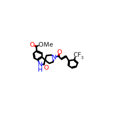 COC(=O)c1ccc2c(c1)C1(CCN(C(=O)C=Cc3ccccc3C(F)(F)F)CC1)C(=O)N2